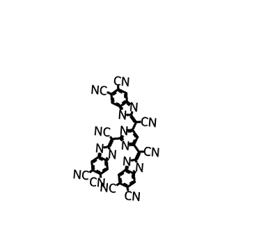 N#CC(=C1N=c2cc(C#N)c(C#N)cc2=N1)c1cc(C(C#N)=C2N=c3cc(C#N)c(C#N)cc3=N2)nc(C(C#N)=C2N=c3cc(C#N)c(C#N)cc3=N2)n1